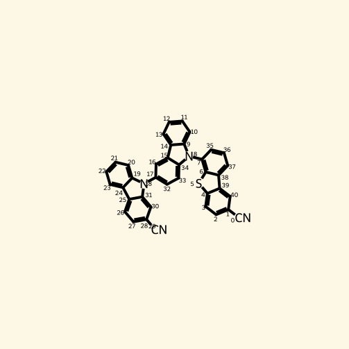 N#Cc1ccc2sc3c(-n4c5ccccc5c5cc(-n6c7ccccc7c7ccc(C#N)cc76)ccc54)cccc3c2c1